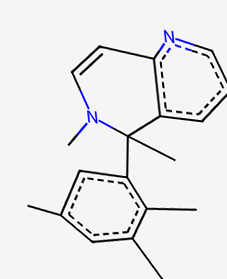 Cc1cc(C)c(C)c(C2(C)c3cccnc3C=CN2C)c1